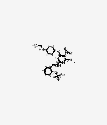 CCN[C@H]1CC[C@H](Cc2nc(NCc3ccccc3OC(F)(F)F)nc(N)c2[N+](=O)[O-])CC1